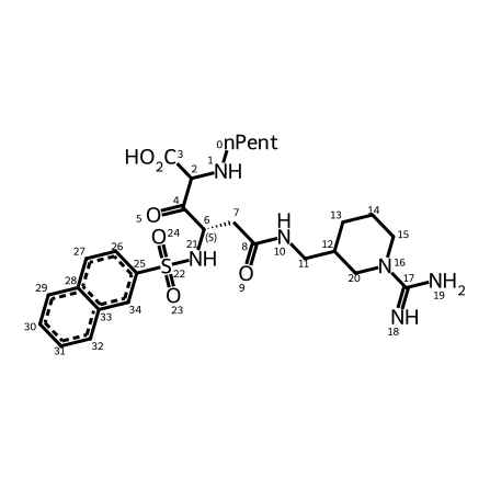 CCCCCNC(C(=O)O)C(=O)[C@H](CC(=O)NCC1CCCN(C(=N)N)C1)NS(=O)(=O)c1ccc2ccccc2c1